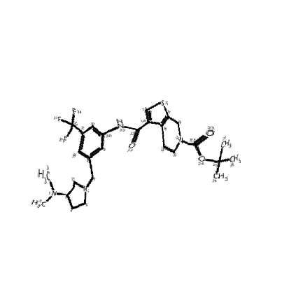 CN(C)[C@@H]1CCN(Cc2cc(NC(=O)c3csc4c3CCN(C(=O)OC(C)(C)C)C4)cc(C(F)(F)F)c2)C1